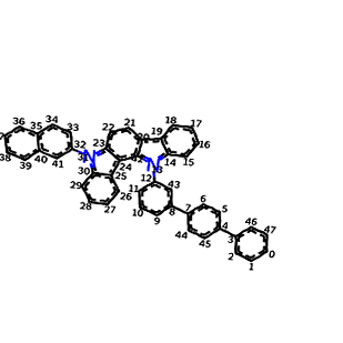 c1ccc(-c2ccc(-c3cccc(-n4c5ccccc5c5ccc6c(c7ccccc7n6-c6ccc7ccccc7c6)c54)c3)cc2)cc1